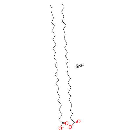 CCCCCCCCCCCCCCCCCCCCCCCCCCCC(=O)[O-].CCCCCCCCCCCCCCCCCCCCCCCCCCCC(=O)[O-].[Sr+2]